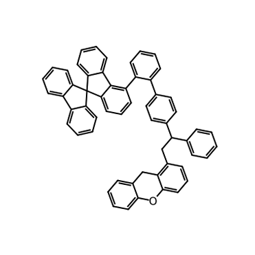 c1ccc(C(Cc2cccc3c2Cc2ccccc2O3)c2ccc(-c3ccccc3-c3cccc4c3-c3ccccc3C43c4ccccc4-c4ccccc43)cc2)cc1